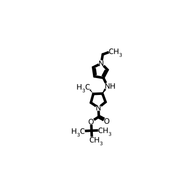 CCn1ccc(N[C@H]2CN(C(=O)OC(C)(C)C)C[C@@H]2C)c1